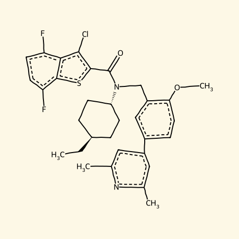 CC[C@H]1CC[C@H](N(Cc2cc(-c3cc(C)nc(C)c3)ccc2OC)C(=O)c2sc3c(F)ccc(F)c3c2Cl)CC1